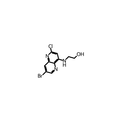 OCCNc1cc(Cl)nc2cc(Br)cnc12